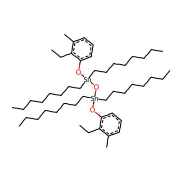 CCCCCCC[CH2][Sn]([CH2]CCCCCCC)([O]c1cccc(C)c1CC)[O][Sn]([CH2]CCCCCCC)([CH2]CCCCCCC)[O]c1cccc(C)c1CC